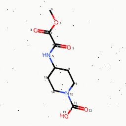 COC(=O)C(=O)NC1CCN(C(=O)O)CC1